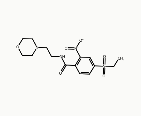 CCS(=O)(=O)c1[c]cc(C(=O)NCCN2CCOCC2)c([N+](=O)[O-])c1